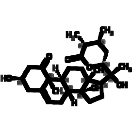 C[C@H]1C[C@H]([C@](C)(O)[C@H]2CC[C@@]3(O)[C@@H]4CC=C5C[C@@H](O)CC(=O)[C@]5(C)[C@H]4CC[C@]23C)OC(=O)[C@@H]1C